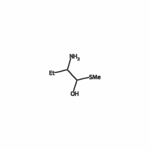 CCC(N)C(O)SC